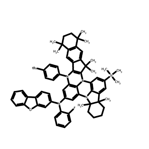 CC(C)(C)c1ccc(N2C3=C(B4c5cc([Si](C)(C)C)cc6c5N(c5cc(N(c7ccc8c(c7)oc7ccccc78)c7ccccc7F)cc2c54)C2(C)CCCCC62C)C(C)(C)c2cc4c(cc23)C(C)(C)CCC4(C)C)cc1